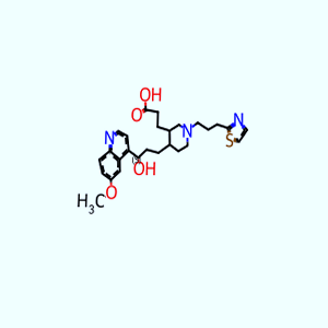 COc1ccc2nccc([C@@H](O)CCC3CCN(CCCc4nccs4)CC3CCC(=O)O)c2c1